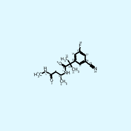 CNC(=O)C[C@H](C)NC(=O)C(C)(C)c1cc(F)cc(C#N)c1